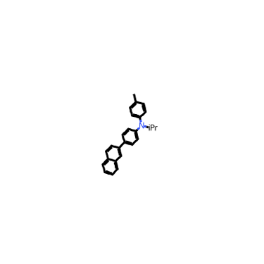 Cc1ccc(N(c2ccc(-c3ccc4ccccc4c3)cc2)C(C)C)cc1